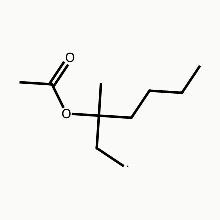 [CH2]CC(C)(CCCC)OC(C)=O